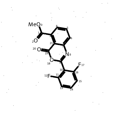 COC(=O)c1cccc2nc(-c3c(F)cccc3F)oc(=O)c12